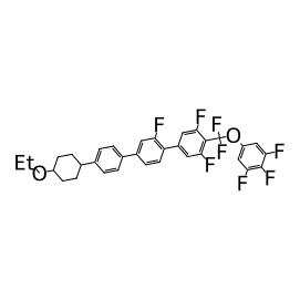 CCOC1CCC(c2ccc(-c3ccc(-c4cc(F)c(C(F)(F)Oc5cc(F)c(F)c(F)c5)c(F)c4)c(F)c3)cc2)CC1